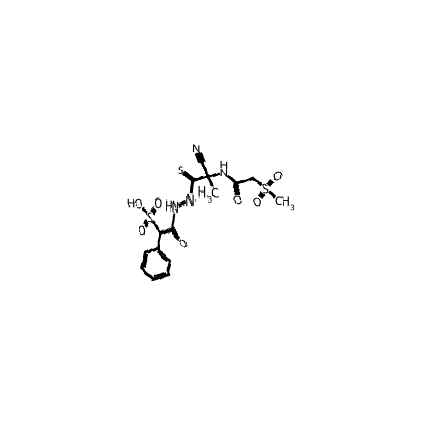 CC(C#N)(NC(=O)CS(C)(=O)=O)C(=S)[N]NC(=O)C(c1ccccc1)S(=O)(=O)O